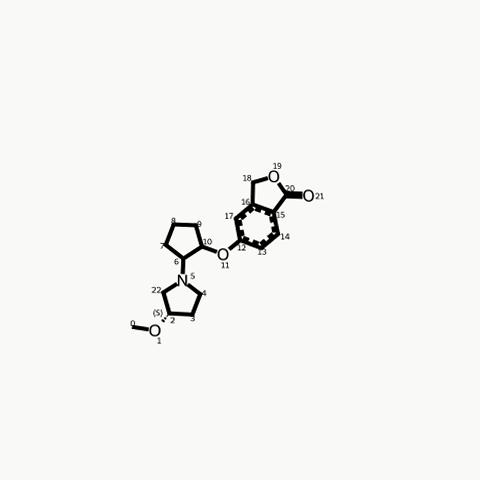 CO[C@H]1CCN(C2CCCC2Oc2ccc3c(c2)COC3=O)C1